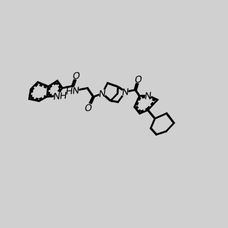 O=C(NCC(=O)N1CC2CC1CN2C(=O)c1ccc(C2CCCCC2)cn1)c1cc2ccccc2[nH]1